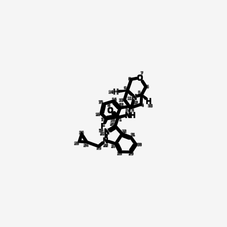 O=C(N[C@H]1C[C@H]2COC[C@@H](C1)N2Cc1cccc(F)c1)c1nn(CC2CC2)c2ccccc12